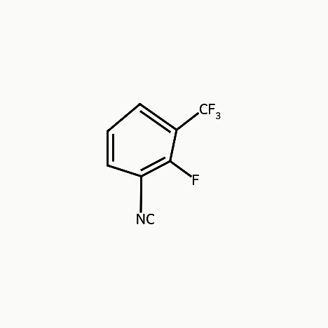 [C-]#[N+]c1cccc(C(F)(F)F)c1F